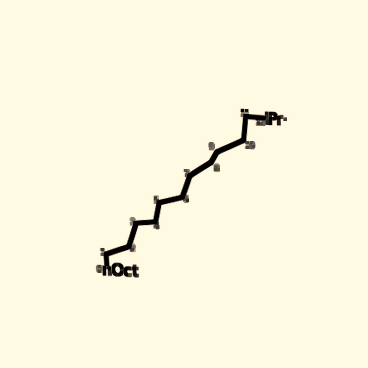 CCCCCCCCCCCCCCCCCCC[C](C)C